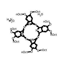 CCCCCCCCOc1cc2c(cc1OCCCCCCCC)-c1nc-2nc2[nH]c(nc3nc(nc4[nH]c(n1)c1cc(OCCCCCCCC)c(OCCCCCCCC)cc41)-c1cc(OCCCCCCCC)c(OCCCCCCCC)cc1-3)c1cc(OCCCCCCCC)c(OCCCCCCCC)cc21.O.O.[SiH4]